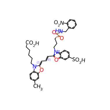 Cc1ccc2c(c1)O/C(=C\C=C\c1oc3cc(S(=O)(=O)O)ccc3[n+]1CCCS(=O)(=O)NCc1ccccc1[N+](=O)[O-])N2CCCCCC(=O)O